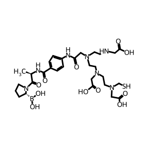 C[C@@H](NC(=O)c1ccc(NC(=O)CN(CCNCC(=O)O)CCN(CCN(CS)CC(=O)O)CC(=O)O)cc1)C(=O)N1CCC[C@H]1B(O)O